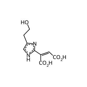 O=C(O)C=C(C(=O)O)c1nc(CCO)c[nH]1